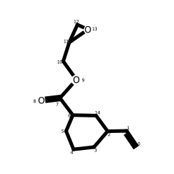 C=CC1CCCC(C(=O)OCC2CO2)C1